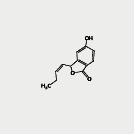 CC/C=C\C1OC(=O)c2ccc(O)cc21